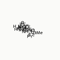 COc1ccc(F)cc1C(=O)NCc1ccc(C2COCC(N)C2(c2n[nH]cc2C(N)=O)C(F)(F)F)cc1